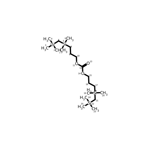 C[Si](C)(C)C[Si](C)(C)CCCOC(=O)OCCC[Si](C)(C)C[Si](C)(C)C